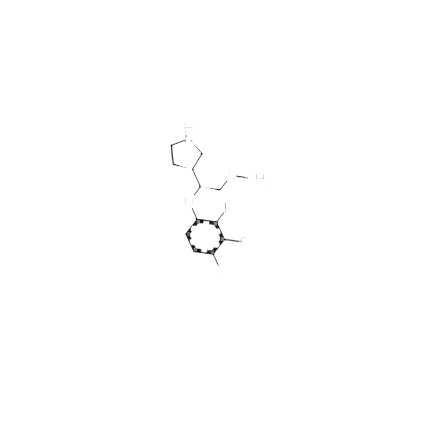 CSC[C@@H](Oc1ccc(F)c(F)c1F)[C@H]1CCNC1